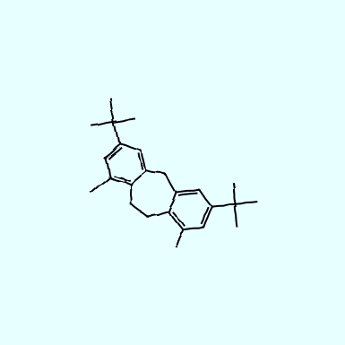 Cc1cc(C(C)(C)C)cc2c1CCc1c(C)cc(C(C)(C)C)cc1C2